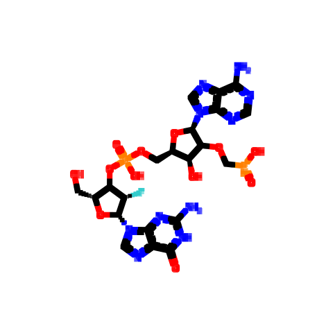 Nc1nc2c(ncn2[C@@H]2O[C@H](CO)C(OP(=O)(O)OC[C@H]3O[C@@H](n4cnc5c(N)ncnc54)C(OC[PH](=O)O)[C@H]3O)[C@@H]2F)c(=O)[nH]1